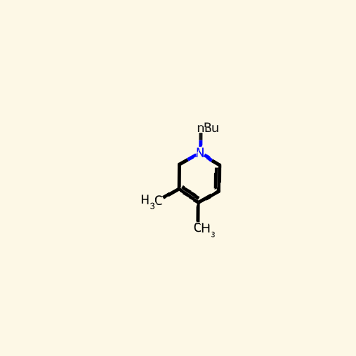 CCCCN1C=CC(C)=C(C)C1